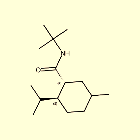 CC1CC[C@@H](C(C)C)[C@H](C(=O)NC(C)(C)C)C1